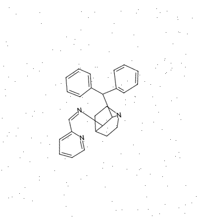 C(=N/C1C2CCN(CC2)C1C(c1ccccc1)c1ccccc1)/c1ccccn1